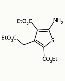 CCOC(=O)Cc1c(C(=O)OCC)sc(N)c1C(=O)OCC